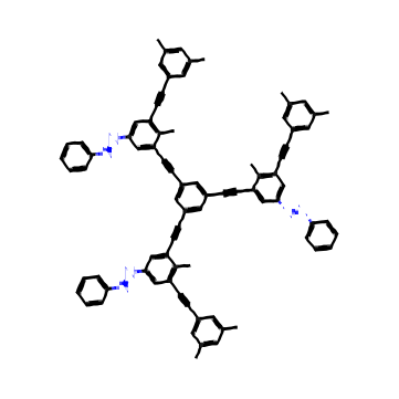 Cc1cc(C)cc(C#Cc2cc(/N=N/c3ccccc3)cc(C#Cc3cc(C#Cc4cc(/N=N/c5ccccc5)cc(C#Cc5cc(C)cc(C)c5)c4C)cc(C#Cc4cc(/N=N/c5ccccc5)cc(C#Cc5cc(C)cc(C)c5)c4C)c3)c2C)c1